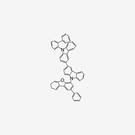 C1=c2oc3c(-n4c5ccccc5c5cc(-c6ccc7c(c6)c6ccccc6n7-c6ccccc6-c6ccccc6)ccc54)cc(-c4ccccc4)cc3c2=CCC1